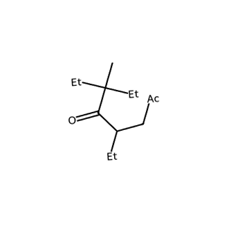 CCC(CC(C)=O)C(=O)C(C)(CC)CC